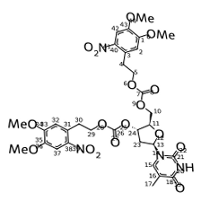 COc1cc(CCOC(=O)OC[C@H]2O[C@@H](n3cc(C)c(=O)[nH]c3=O)C[C@@H]2OC(=O)OCCc2cc(OC)c(OC)cc2[N+](=O)[O-])c([N+](=O)[O-])cc1OC